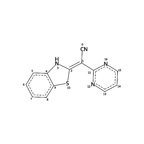 N#C/C(=C1\Nc2ccccc2S1)c1ncccn1